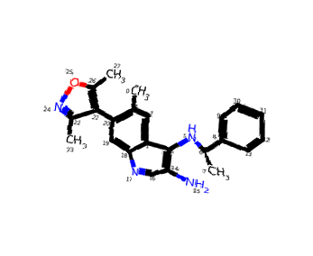 Cc1cc2c(N[C@H](C)c3ccccc3)c(N)cnc2cc1-c1c(C)noc1C